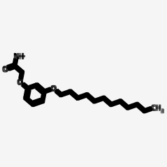 CCCCCCCCCCCCOc1cccc(OCC([NH])=O)c1